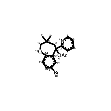 CC(=O)OC1(c2ccccn2)CC(C)(C)COc2ccc(Br)cc21